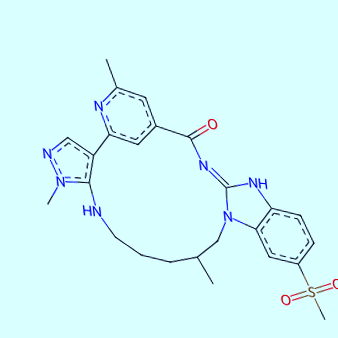 Cc1cc2cc(n1)-c1cnn(C)c1NCCCC(C)CN1/C(=N/C2=O)Nc2ccc(S(C)(=O)=O)cc21